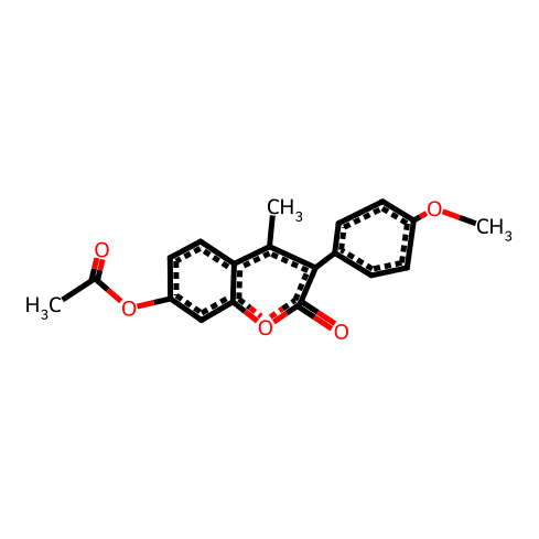 COc1ccc(-c2c(C)c3ccc(OC(C)=O)cc3oc2=O)cc1